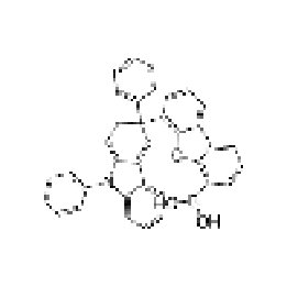 OB(O)c1cccc2c1oc1c(C3(c4ccccc4)C=c4c(n(-c5ccccc5)c5ccccc45)=CC3)cccc12